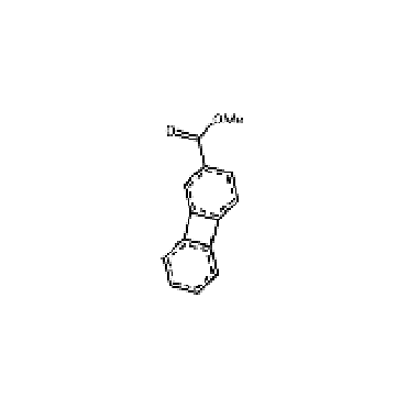 COC(=O)c1ccc2c(c1)-c1ccccc1-2